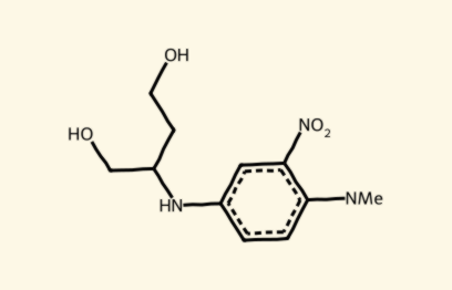 CNc1ccc(NC(CO)CCO)cc1[N+](=O)[O-]